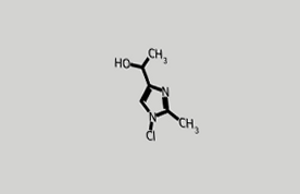 Cc1nc(C(C)O)cn1Cl